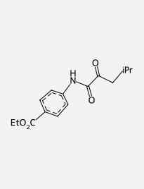 CCOC(=O)c1ccc(NC(=O)C(=O)CC(C)C)cc1